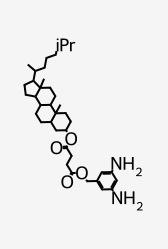 CC(C)CCCC(C)C1CCC2C3CCC4CC(OC(=O)CCC(=O)OCc5cc(N)cc(N)c5)CCC4(C)C3CCC12C